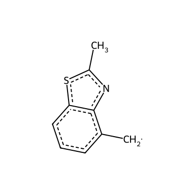 [CH2]c1cccc2sc(C)nc12